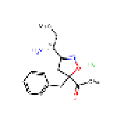 COC[C@@H](N)C1=NOC(Cc2ccccc2)(C(=O)OC)C1.Cl